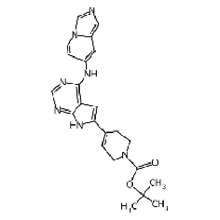 CC(C)(C)OC(=O)N1CC=C(c2cc3c(Nc4ccn5cncc5c4)ncnc3[nH]2)CC1